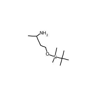 CC(N)CCO[Si](C)(C)C(C)(C)C